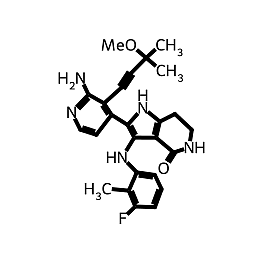 COC(C)(C)C#Cc1c(-c2[nH]c3c(c2Nc2cccc(F)c2C)C(=O)NCC3)ccnc1N